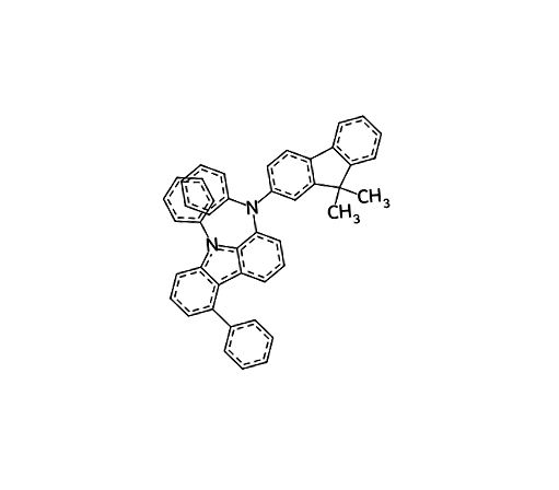 CC1(C)c2ccccc2-c2ccc(N(c3ccccc3)c3cccc4c5c(-c6ccccc6)cccc5n(-c5ccccc5)c34)cc21